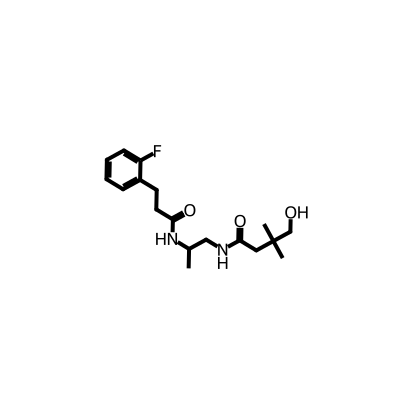 CC(CNC(=O)CC(C)(C)CO)NC(=O)CCc1ccccc1F